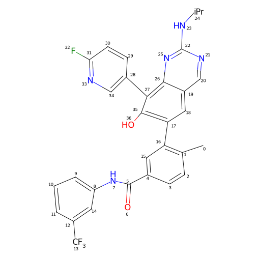 Cc1ccc(C(=O)Nc2cccc(C(F)(F)F)c2)cc1-c1cc2cnc(NC(C)C)nc2c(-c2ccc(F)nc2)c1O